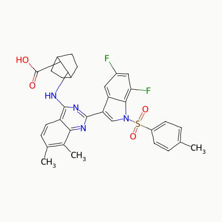 Cc1ccc(S(=O)(=O)n2cc(-c3nc(NC4C5CCC(CC5)C4C(=O)O)c4ccc(C)c(C)c4n3)c3cc(F)cc(F)c32)cc1